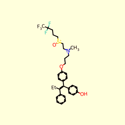 CC/C(=C(/c1ccc(O)cc1)c1ccc(OCCCN(C)CC[S+]([O-])CCCC(F)(F)C(F)(F)F)cc1)c1ccccc1